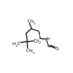 CC(CCN[C]=O)CC(C)(C)C